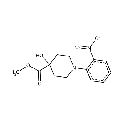 COC(=O)C1(O)CCN(c2ccccc2[N+](=O)[O-])CC1